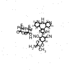 CC(Oc1cc(C#N)c(-c2nc3c([nH]2)-c2ccncc2Nc2ncccc2-3)c(C#N)c1)C(N)=O.O=C(O)C(F)(F)F.O=C(O)C(F)(F)F